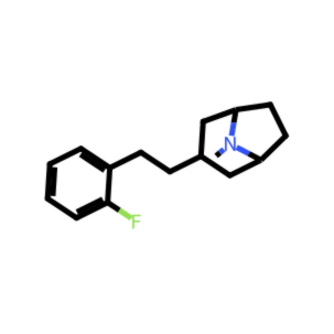 CN1C2CCC1CC(CCc1ccccc1F)C2